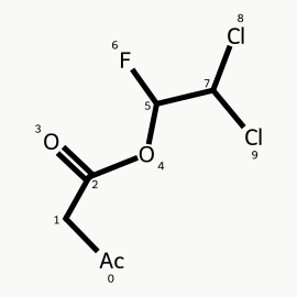 CC(=O)CC(=O)OC(F)C(Cl)Cl